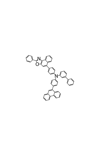 c1ccc(-c2cccc(N(c3ccc(-c4cc5ccccc5c5ccccc45)cc3)c3ccc(-c4cc5oc(-c6ccccc6)nc5c5ccccc45)cc3)c2)cc1